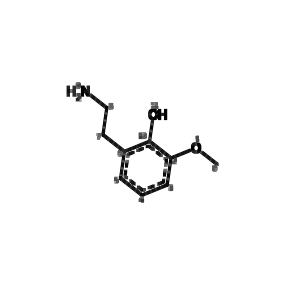 COc1cccc(CCN)c1O